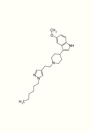 CCCCCCn1cc(CCN2CCC(c3c[nH]c4ccc(OC)cc34)CC2)cn1